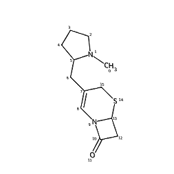 CN1CCCC1CC1=CN2C(=O)CC2SC1